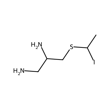 CC(I)SCC(N)CN